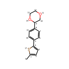 Cc1ccc(-c2ccc(C3COCCO3)cc2)s1